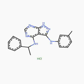 Cc1cccc(Nc2n[nH]c3ncnc(NC(C)c4ccccc4)c23)c1.Cl